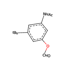 CC(=O)Nc1cc(OC=O)cc(C(C)(C)C)c1